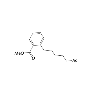 COC(=O)c1ccccc1CCCCCC(C)=O